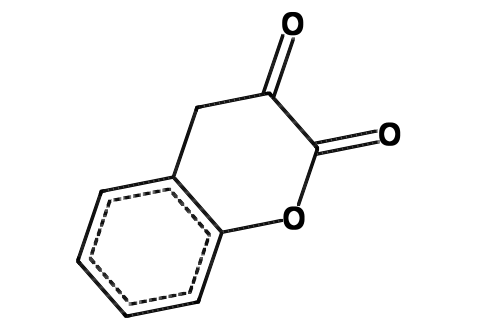 O=C1Cc2ccccc2OC1=O